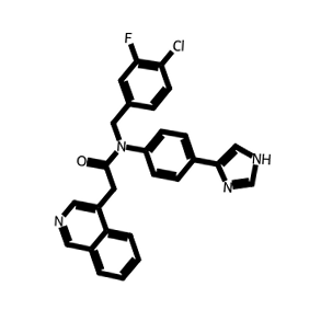 O=C(Cc1cncc2ccccc12)N(Cc1ccc(Cl)c(F)c1)c1ccc(-c2c[nH]cn2)cc1